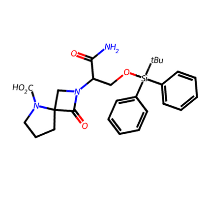 CC(C)(C)[Si](OCC(C(N)=O)N1CC2(CCCN2C(=O)O)C1=O)(c1ccccc1)c1ccccc1